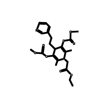 CCOC(=O)CN1C(C)=C(OC(=O)OC)C(CCc2cccnc2)C(OC(=O)OC)=C1C